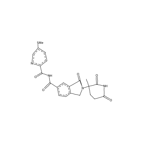 CSc1ccc(C(=O)NC(=O)c2ccc3c(c2)C(=O)N(C2(C)CCC(=O)NC2=O)C3)nc1